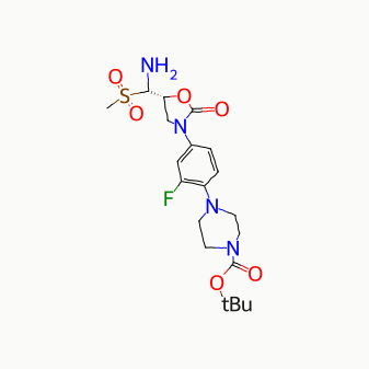 CC(C)(C)OC(=O)N1CCN(c2ccc(N3C[C@H](C(N)S(C)(=O)=O)OC3=O)cc2F)CC1